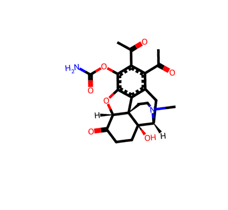 CC(=O)c1c2c3c(c(OC(N)=O)c1C(C)=O)O[C@H]1C(=O)CC[C@@]4(O)[C@@H](C2)N(C)CC[C@]314